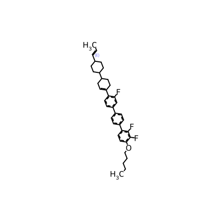 C/C=C/C1CCC(C2CC=C(c3ccc(-c4ccc(-c5ccc(OCCCCC)c(F)c5F)cc4)cc3F)CC2)CC1